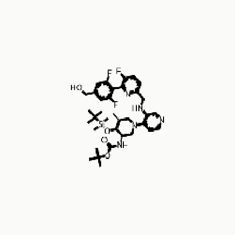 C[C@H]1CN(c2ccncc2NCc2ccc(F)c(-c3c(F)cc(CO)cc3F)n2)C[C@@H](NC(=O)OC(C)(C)C)C1O[Si](C)(C)C(C)(C)C